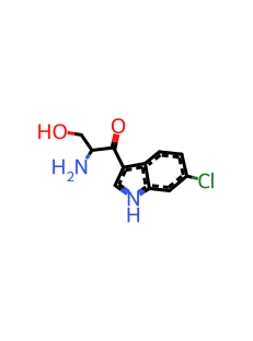 NC(CO)C(=O)c1c[nH]c2cc(Cl)ccc12